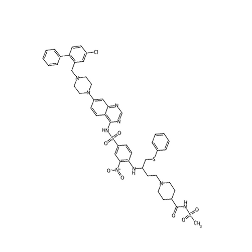 CS(=O)(=O)NC(=O)C1CCN(CCC(CSc2ccccc2)Nc2ccc(S(=O)(=O)Nc3ncnc4cc(N5CCN(Cc6cc(Cl)ccc6-c6ccccc6)CC5)ccc34)cc2[N+](=O)[O-])CC1